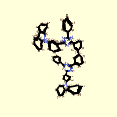 c1ccc(-c2nc(-c3ccc(-n4c5ccccc5c5ccccc54)cc3)nc(-c3cccc(-c4cccc(-c5nc(-c6ccccc6)nc(-c6cccc(-n7c8ccccc8c8ccccc87)c6)n5)c4)c3)n2)cc1